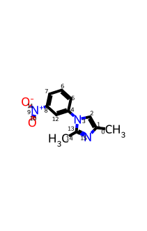 Cc1cn(-c2cccc([N+](=O)[O-])c2)c(C)n1